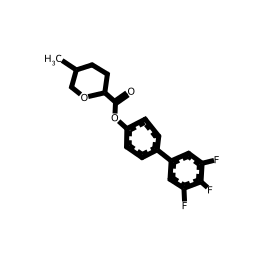 CC1CCC(C(=O)Oc2ccc(-c3cc(F)c(F)c(F)c3)cc2)OC1